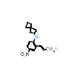 CCOC(=O)/C=C/c1cc([N+](=O)[O-])ccc1NC1CC2(CCC2)C1